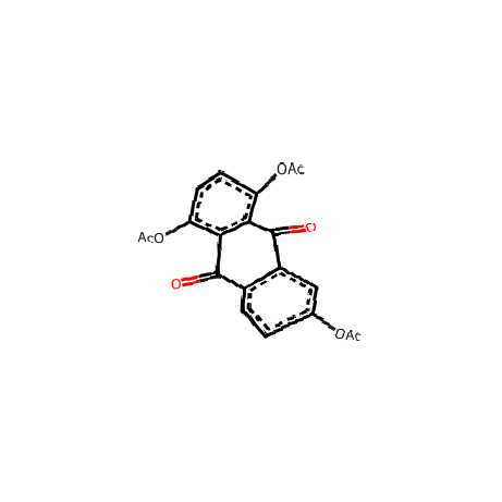 CC(=O)Oc1ccc2c(c1)C(=O)c1c(OC(C)=O)ccc(OC(C)=O)c1C2=O